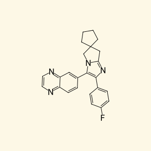 Fc1ccc(-c2nc3n(c2-c2ccc4nccnc4c2)CC2(CCCC2)C3)cc1